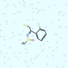 CC(C)(C)[S+]([O-])/N=C(/CF)c1ccccc1F